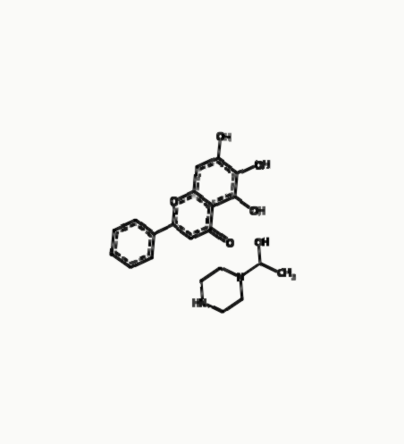 CC(O)N1CCNCC1.O=c1cc(-c2ccccc2)oc2cc(O)c(O)c(O)c12